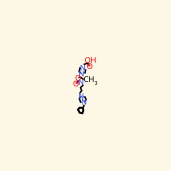 CC1C(N2CCN(CC(=O)O)CC2)OC(=O)N1CCCCN1CCN(Cc2ccccc2)CC1